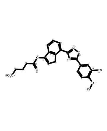 CC(C)Oc1ccc(-c2nc(-c3cccc4c3CC=C4OC(=O)CCCC(=O)O)no2)cc1C#N